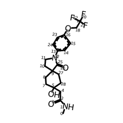 CNC(=O)CC1(O)CCC2(CCN(c3ccc(OCC(F)(F)F)cc3)C2=O)CC1